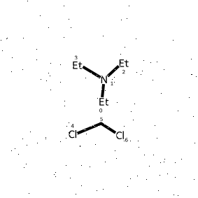 CCN(CC)CC.ClCCl